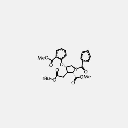 COC(=O)c1ccccc1O[C@@H]1CN(C(=O)c2ccccc2)[C@H](C(=O)OC)[C@H]1CC(=O)OC(C)(C)C